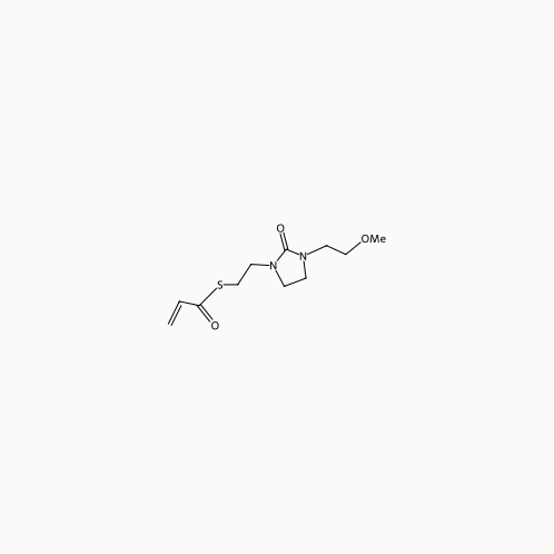 C=CC(=O)SCCN1CCN(CCOC)C1=O